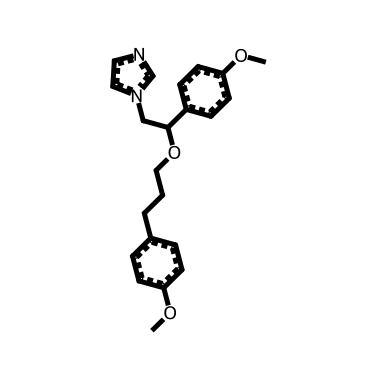 COc1ccc(CCCOC(Cn2ccnc2)c2ccc(OC)cc2)cc1